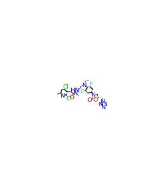 CCN(CCNN(C)C(=O)Cc1c(Cl)cc(C)nc1Cl)c1c(F)cc(N2C[C@H](Cn3ccnn3)OC2=O)cc1F